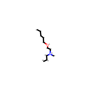 CCCCCOCCN(C)CCC